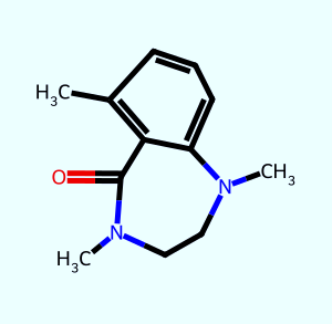 Cc1cccc2c1C(=O)N(C)CCN2C